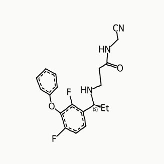 CC[C@H](NCCC(=O)NCC#N)c1ccc(F)c(Oc2ccccc2)c1F